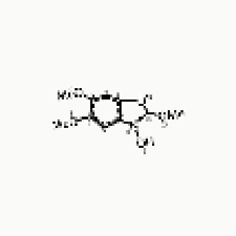 COc1cc2c(cc1OC)N(O)C(OC)O2